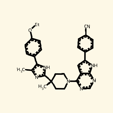 CCOc1ccc(-c2[nH]c(C3(C)CCN(c4ncnc5[nH]c(-c6ccc(C#N)cc6)cc45)CC3)nc2C)cc1